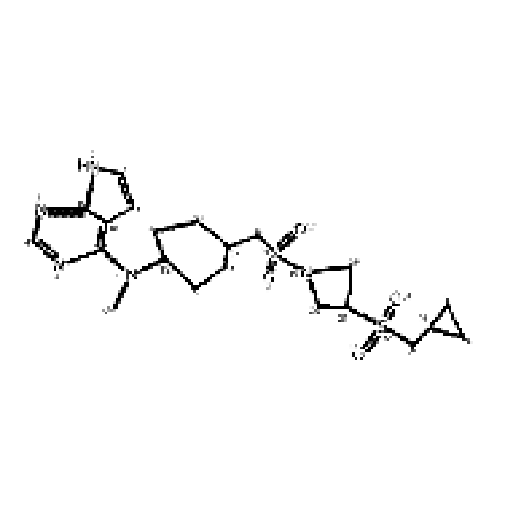 CN(c1ncnc2[nH]ccc12)C1CCC(CS(=O)(=O)N2CC(S(=O)(=O)CC3CC3)C2)CC1